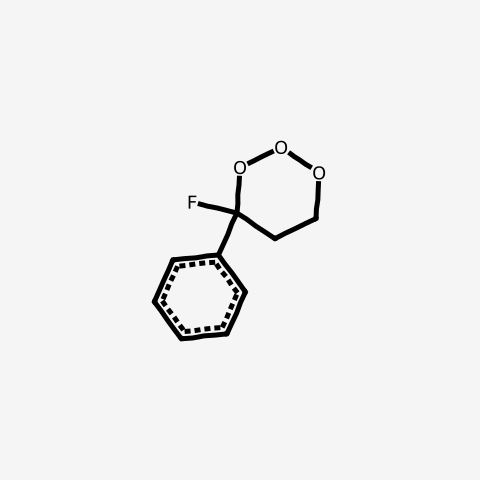 FC1(c2ccccc2)CCOOO1